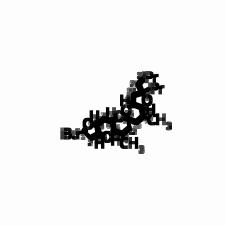 CC[C@H](C)[C@@H]1C[C@H]2O[C@@H]3[C@H](C[C@H]2O1)O[C@@]1(C[C@@H]3C)C[C@H](C)[C@@H]2O[C@](CC(C)C)(C(C)C)C[C@@H]2O1